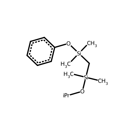 CC(C)O[Si](C)(C)C[Si](C)(C)Oc1ccccc1